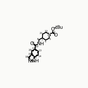 CC(C)(C)OC(=O)N1CCC(CNC(=O)c2ccc3[nH]ncc3c2)CC1